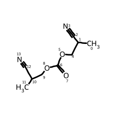 CC(C#N)COC(=O)OCC(C)C#N